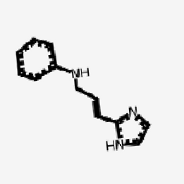 C(=Cc1ncc[nH]1)CNc1ccccc1